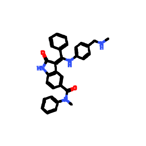 CNCc1ccc(NC(=C2C(=O)Nc3ccc(C(=O)N(C)c4ccccc4)cc32)c2ccccc2)cc1